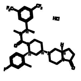 Cc1cc(F)ccc1[C@H]1C[C@@H](N2CCN3C(=O)CC[C@@H]3C2)CCN1C(=O)N(C)[C@H](C)c1cc(C(F)(F)F)cc(C(F)(F)F)c1.Cl